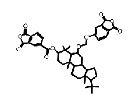 CC(C)(C)C1CCC2C3CC(OCOc4ccc5c(c4)C(=O)OC5=O)C4C(C)(C)C(OC(=O)c5ccc6c(c5)C(=O)OC6=O)CCC4(C)C3CCC21C